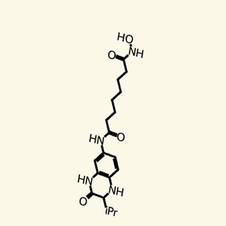 CC(C)C1Nc2ccc(NC(=O)CCCCCCC(=O)NO)cc2NC1=O